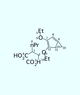 CCCC(CC(=O)O)C(=O)O.CCOc1cc2cc-2c1OCC